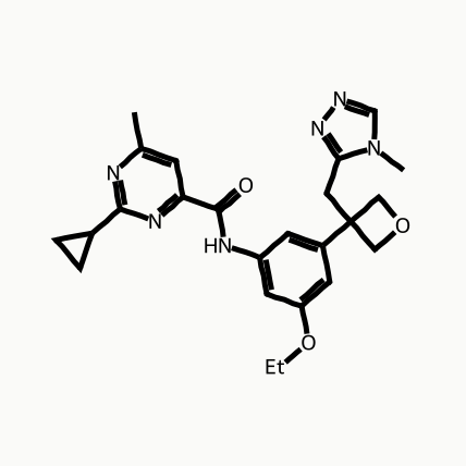 CCOc1cc(NC(=O)c2cc(C)nc(C3CC3)n2)cc(C2(Cc3nncn3C)COC2)c1